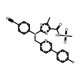 Cc1sc(N(Cc2ccc(-c3ccc(F)cc3)cn2)c2ccc(C#N)cc2)nc1C(=O)NS(C)(=O)=O